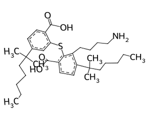 CCCCCC(C)(C)c1ccc(C(=O)O)c(Sc2c(C(=O)O)ccc(C(C)(C)CCCCC)c2CCCCN)c1